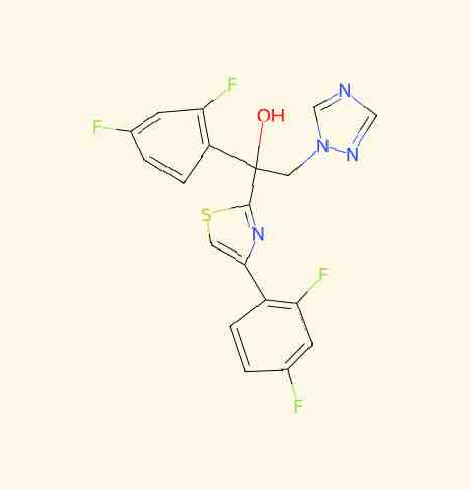 OC(Cn1cncn1)(c1nc(-c2ccc(F)cc2F)cs1)c1ccc(F)cc1F